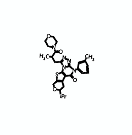 Cc1cccc(-n2c(=O)c3c4c(sc3n3c(CC(C)C(=O)N5CCOCC5)nnc23)COC(C(C)C)C4)c1